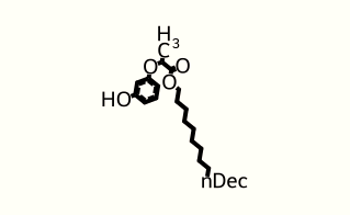 CCCCCCCCCCCCCCCCCCCOC(=O)C(C)Oc1cccc(O)c1